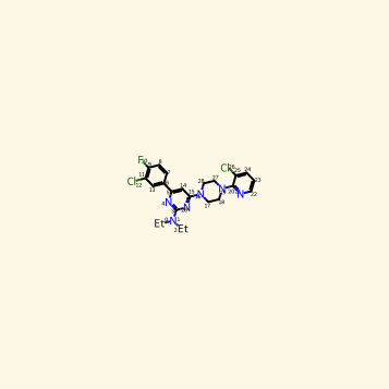 CCN(CC)c1nc(-c2ccc(F)c(Cl)c2)cc(N2CCN(c3ncccc3Cl)CC2)n1